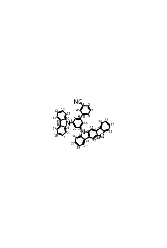 N#Cc1cccc(-c2cc(-n3c4ccccc4c4ccccc43)cc(-n3c4ccccc4c4cc5oc6ccccc6c5cc43)c2)c1